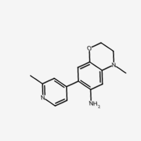 Cc1cc(-c2cc3c(cc2N)N(C)CCO3)ccn1